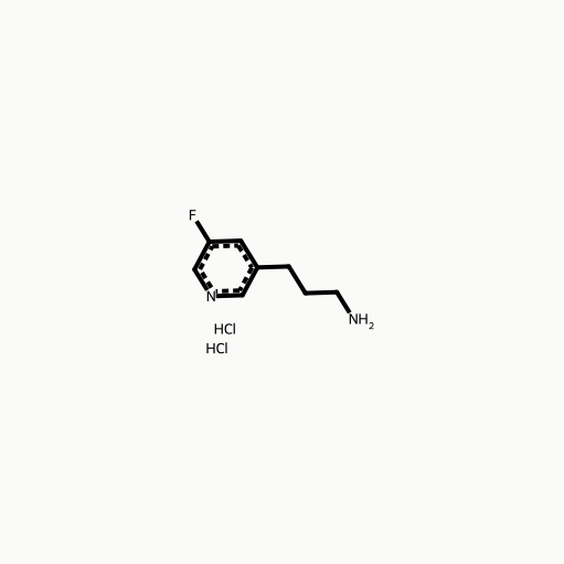 Cl.Cl.NCCCc1cncc(F)c1